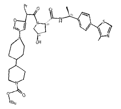 Cc1ncsc1-c1ccc([C@H](C)NC(=O)[C@@H]2C[C@@H](O)CN2C(=O)C(c2cc(N3CCC(C4CCN(C(=O)OC(C)(C)C)CC4)CC3)no2)C(C)C)cc1